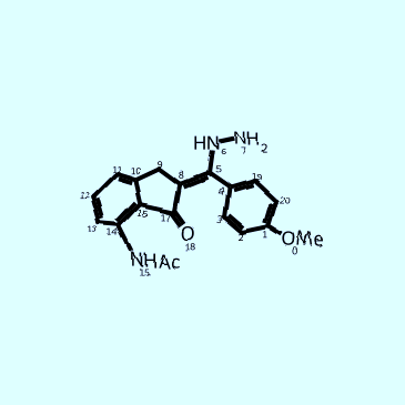 COc1ccc(/C(NN)=C2/Cc3cccc(NC(C)=O)c3C2=O)cc1